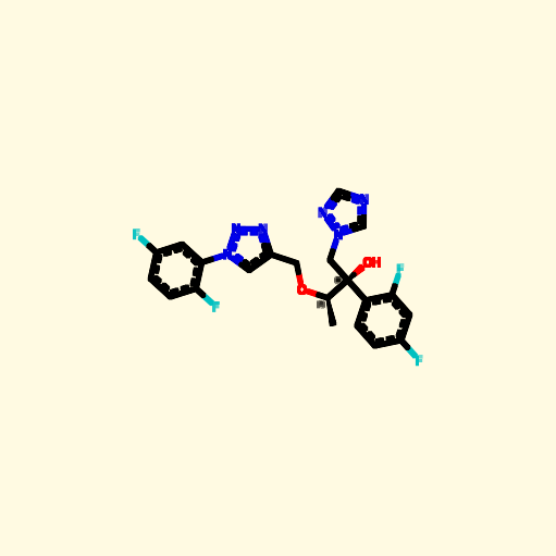 C[C@@H](OCc1cn(-c2cc(F)ccc2F)nn1)[C@](O)(Cn1cncn1)c1ccc(F)cc1F